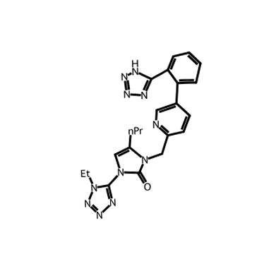 CCCc1cn(-c2nnnn2CC)c(=O)n1Cc1ccc(-c2ccccc2-c2nnn[nH]2)cn1